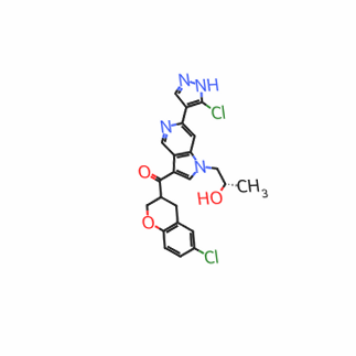 C[C@H](O)Cn1cc(C(=O)C2COc3ccc(Cl)cc3C2)c2cnc(-c3cn[nH]c3Cl)cc21